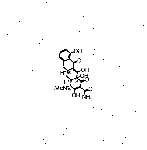 CN[C@@H]1C(O)=C(C(N)=O)C(=O)[C@@]2(O)C(O)=C3C(=O)c4c(O)cccc4C[C@H]3C[C@@H]12